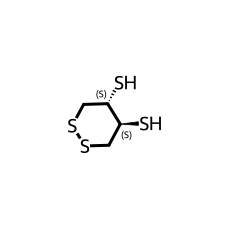 S[C@H]1CSSC[C@@H]1S